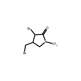 O=C1C(Br)C(CBr)CN1C(F)(F)F